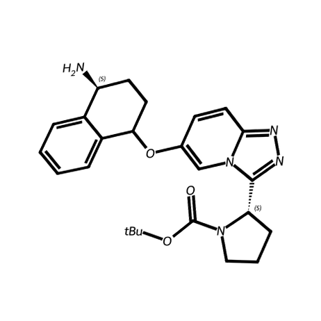 CC(C)(C)OC(=O)N1CCC[C@H]1c1nnc2ccc(OC3CC[C@H](N)c4ccccc43)cn12